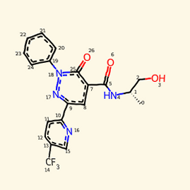 C[C@@H](CO)NC(=O)c1cc(-c2ccc(C(F)(F)F)cn2)nn(-c2ccccc2)c1=O